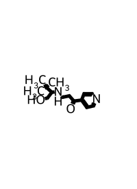 CC(C)(C)C(CO)NCCC(=O)c1ccncc1